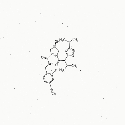 C#Cc1ccc(CNC(=O)[C@@H]2C[C@@H](O)CN2C(=O)C(c2cc(C(C)C)no2)C(C)C)c(F)c1